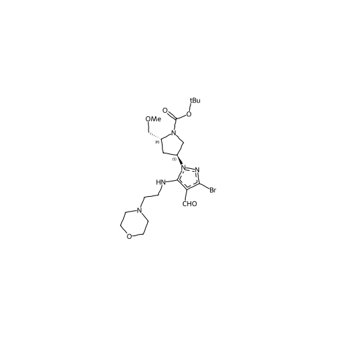 COC[C@H]1C[C@H](n2nc(Br)c(C=O)c2NCCN2CCOCC2)CN1C(=O)OC(C)(C)C